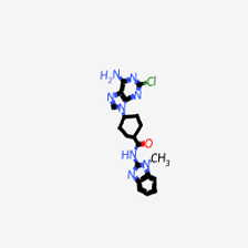 Cn1c(NC(=O)C2CCC(n3cnc4c(N)nc(Cl)nc43)CC2)nc2ccccc21